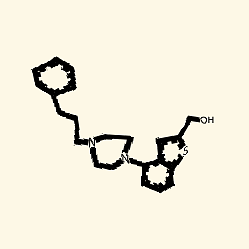 OCc1cc2c(N3CCN(CCCc4ccccc4)CC3)cccc2s1